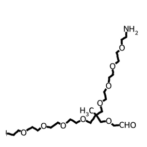 CC(COCC=O)(COCCOCCOCCOCCN)COCCOCCOCCOCCN